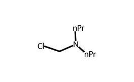 CCCN(CCl)CCC